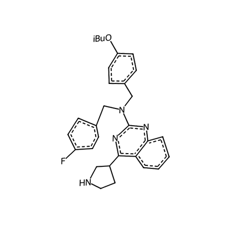 CC(C)COc1ccc(CN(Cc2ccc(F)cc2)c2nc(C3CCNC3)c3ccccc3n2)cc1